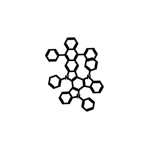 C1=CCCC(n2c3cc4c(-c5ccccc5)c5ccccc5c(-c5ccccc5)c4cc3c3c2c2c4ccccc4n(-c4ccccc4)c2c2c4ccccc4n(-c4ccccc4)c32)=C1